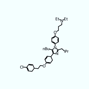 CCCCc1c(C2C=CC(OCCC3C=CC(Cl)=CC3)=CC2)nc(CC(C)C)n1-c1ccc(OCCCN(CC)CC)cc1